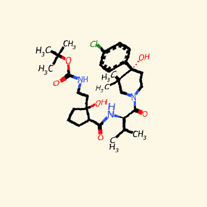 CC(C)[C@@H](NC(=O)C1CCCC1(O)CCNC(=O)OC(C)(C)C)C(=O)N1CC[C@](O)(c2ccc(Cl)cc2)C(C)(C)C1